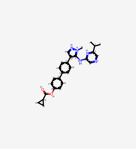 CC(C)c1cncc(Nc2c(-c3ccc(-c4ccc(OC(=O)C5CC5)cc4)cc3)cnn2C)n1